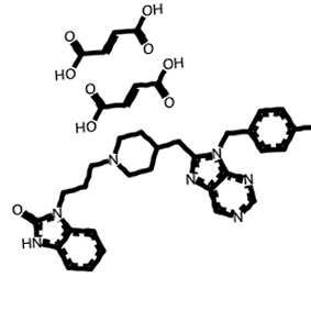 O=C(O)C=CC(=O)O.O=C(O)C=CC(=O)O.O=c1[nH]c2ccccc2n1CCCN1CCC(Cc2nc3cncnc3n2Cc2ccc(F)cc2)CC1